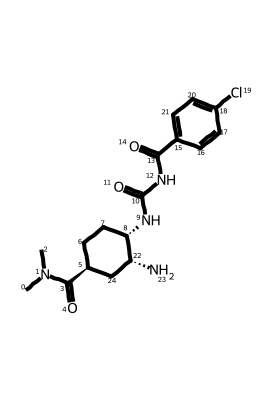 CN(C)C(=O)[C@H]1CC[C@H](NC(=O)NC(=O)c2ccc(Cl)cc2)[C@H](N)C1